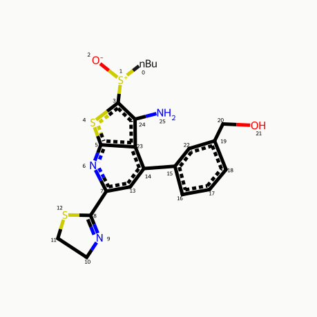 CCCC[S+]([O-])c1sc2nc(C3=NCCS3)cc(-c3cccc(CO)c3)c2c1N